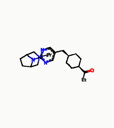 CCC(=O)[C@H]1CC[C@@H](Cc2cnc(N3C4CCC3CN(C(C)C)C4)nc2)CC1